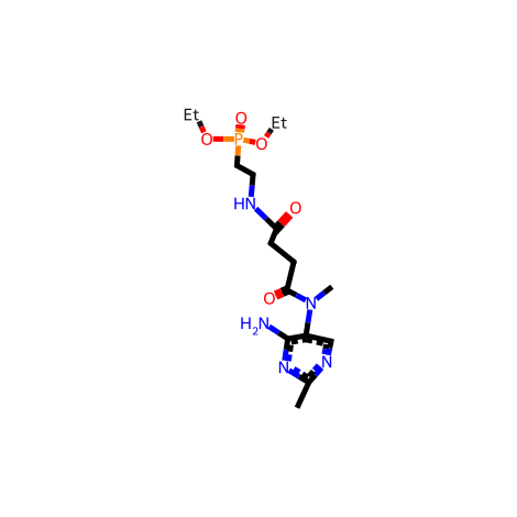 CCOP(=O)(CCNC(=O)CCC(=O)N(C)c1cnc(C)nc1N)OCC